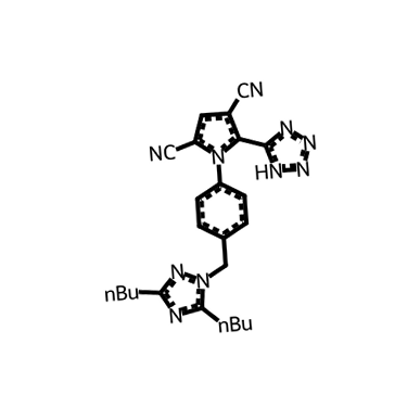 CCCCc1nc(CCCC)n(Cc2ccc(-n3c(C#N)cc(C#N)c3-c3nnn[nH]3)cc2)n1